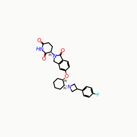 O=C1CC[C@@H](N2Cc3cc(O[C@@H]4CCCC[C@H]4N4CC(c5ccc(F)cc5)C4)ccc3C2=O)C(=O)N1